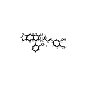 Cc1ccccc1-c1c(NC(=O)C=Cc2ccc(O)c(O)c2)c(=O)oc2cc3c(cc12)CCC3